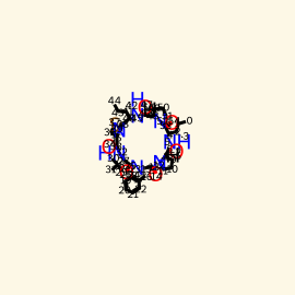 CC[C@H](C)[C@@H]1NC(=O)[C@@H]2CCCN2C(=O)[C@H](Cc2ccccc2)N(C)C(=O)[C@H](C(C)(C)C)NC(=O)c2csc(n2)[C@H]([C@@H](C)CC)NC(=O)[C@@H]2CCCN2C1=O